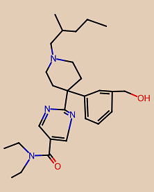 CCCC(C)CN1CCC(c2cccc(CO)c2)(c2ncc(C(=O)N(CC)CC)cn2)CC1